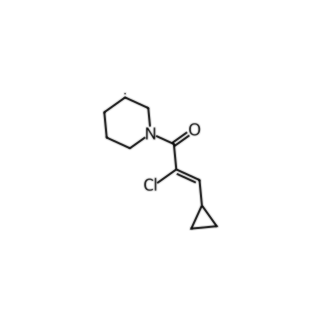 O=C(C(Cl)=CC1CC1)N1C[CH]CCC1